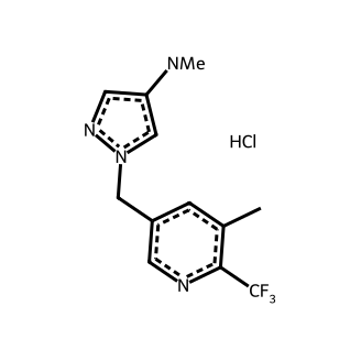 CNc1cnn(Cc2cnc(C(F)(F)F)c(C)c2)c1.Cl